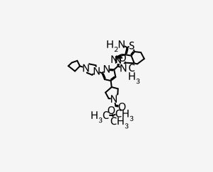 CC(C)(C)OC(=O)N1CCC(c2cc(-c3noc(C4(C)CCCc5sc(N)c(C#N)c54)n3)nc(N3CCN(C4CCCC4)CC3)c2)CC1